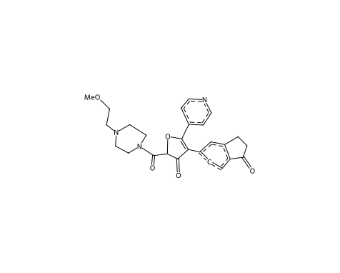 COCCN1CCN(C(=O)C2OC(c3ccncc3)=C(c3ccc4c(c3)CCC4=O)C2=O)CC1